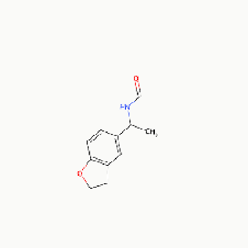 CC(NC=O)c1ccc2c(c1)CCO2